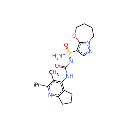 Cc1c(C(C)C)nc2c(c1NC(=O)N=S(N)(=O)c1cnn3c1OCCCC3)CCC2